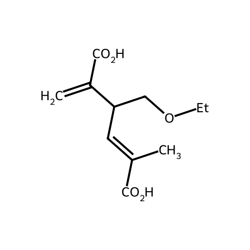 C=C(C(=O)O)C(C=C(C)C(=O)O)COCC